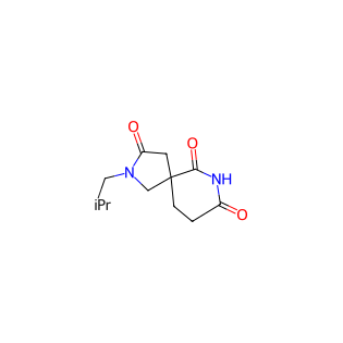 CC(C)CN1CC2(CCC(=O)NC2=O)CC1=O